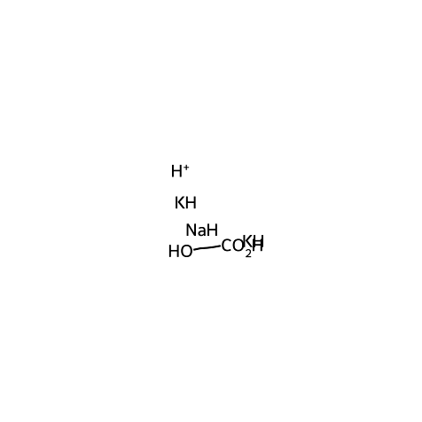 O=C(O)O.[H+].[KH].[KH].[NaH]